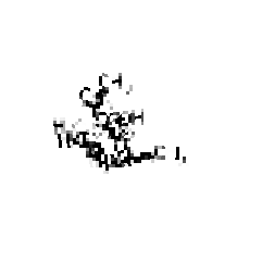 CCCCC(CC)COC(=O)CC(C(=O)OCC(CC)CCCC)S(=O)(=O)O.C[CH2][AlH][C]1=CC=CC1.[NaH]